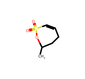 CC1CCC=CS(=O)(=O)O1